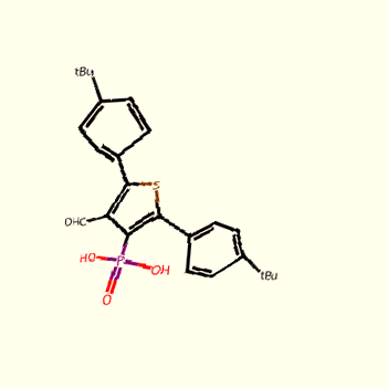 CC(C)(C)c1ccc(-c2sc(-c3ccc(C(C)(C)C)cc3)c(P(=O)(O)O)c2C=O)cc1